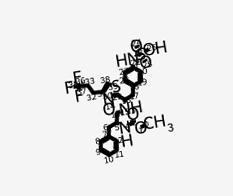 COC(=O)NC(Cc1ccccc1)C(=O)NC(Cc1ccc(NS(=O)(=O)O)cc1)c1nc(CCC(F)(F)F)cs1